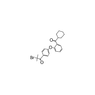 CC(C)(Br)C(=O)c1ccc(Oc2ccccc2C(=O)C2CCCCC2)cc1